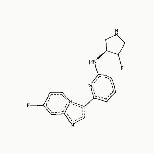 Fc1ccn2c(-c3cccc(N[C@H]4CNCC4F)n3)cnc2c1